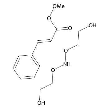 COOC(=O)C=Cc1ccccc1.OCCONOCCO